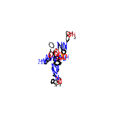 CC(C)c1ccccc1[C@@H]1COCCN1C1CC1N1CCN(c2ccc(C(=O)NS(=O)(=O)c3ccc(NC[C@H]4CC[C@](C)(O)CC4)c([N+](=O)[O-])c3)c(N3c4cc5cc[nH]c5nc4O[C@H]4COCC[C@@H]43)c2)CC1